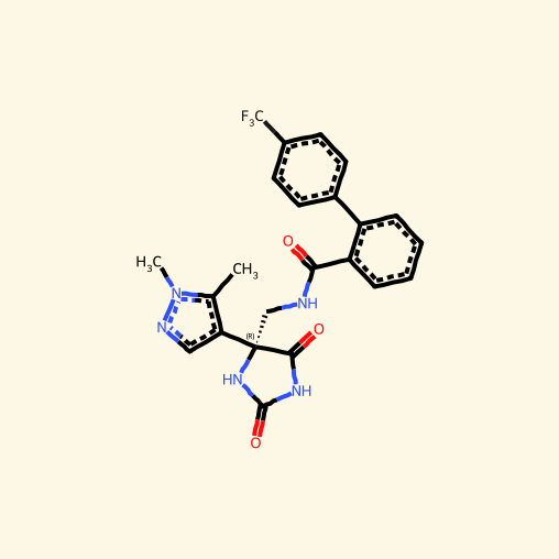 Cc1c([C@]2(CNC(=O)c3ccccc3-c3ccc(C(F)(F)F)cc3)NC(=O)NC2=O)cnn1C